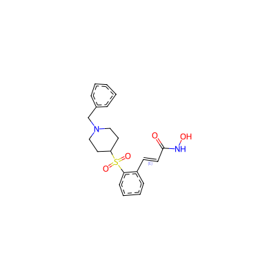 O=C(/C=C/c1ccccc1S(=O)(=O)C1CCN(Cc2ccccc2)CC1)NO